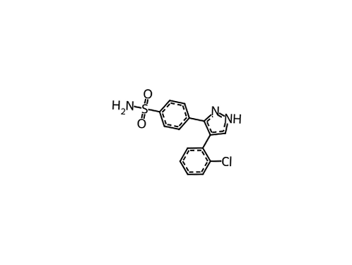 NS(=O)(=O)c1ccc(-c2n[nH]cc2-c2ccccc2Cl)cc1